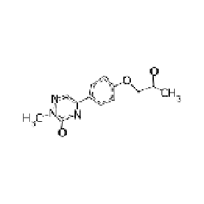 CC(=O)COc1ccc(-c2cnn(C)c(=O)n2)cc1